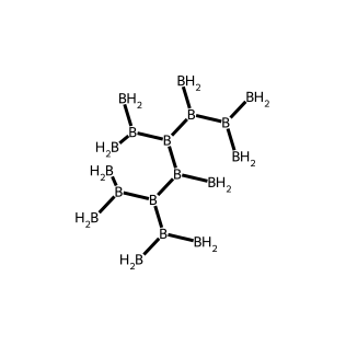 BB(B)B(B)B(B(B)B)B(B)B(B(B)B)B(B)B